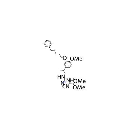 COc1ccc(C(C)CN/C(=N/C#N)NCC(OC)OC)cc1OCCCCCc1ccccc1